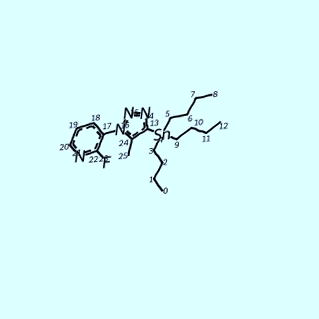 CCC[CH2][Sn]([CH2]CCC)([CH2]CCC)[c]1nnn(-c2cccnc2F)c1C